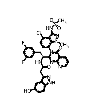 Cn1nc(NS(C)(=O)=O)c2c(Cl)ccc(-n3c([C@H](Cc4cc(F)cc(F)c4)NC(=O)Cc4n[nH]c5ccc(O)cc45)nc4ncccc4c3=O)c21